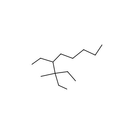 CCCCCC(CC)C(C)(CC)CC